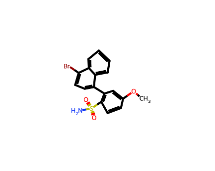 COc1ccc(S(N)(=O)=O)c(-c2ccc(Br)c3ccccc23)c1